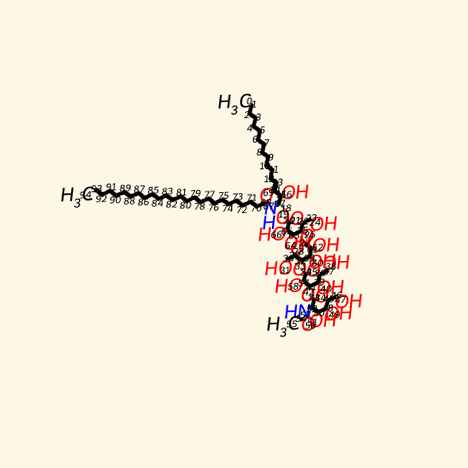 CCCCCCCCCCCCC/C=C/[C@@H](O)[C@H](CO[C@@H]1OC(CO)[C@@H](O[C@@H]2OC(CO)[C@H](O[C@@H]3OC(CO)[C@H](O)[C@H](O[C@@H]4OC(CO)[C@H](O)[C@H](O)C4NC(C)=O)C3O)[C@H](O)C2O)[C@H](O)C1O)NC(=O)CCCCCCCCCCCCCCCCCCCCCCCCC